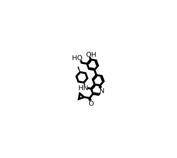 C[C@H]1CC[C@@H](Nc2c(C(=O)C3CC3)cnc3ccc(-c4ccc(O)c(CO)c4)cc23)CC1